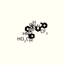 Cc1ccccc1-c1nc(NS(=O)(=O)c2cccc(N[C@@H]3[C@@H]4CC[C@@H](C4)[C@@H]3C(=O)O)n2)ccc1C(F)(F)F